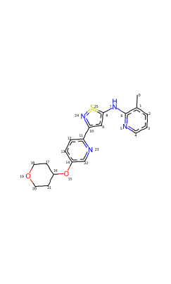 Cc1cccnc1Nc1cc(-c2ccc(OC3CCOCC3)cn2)ns1